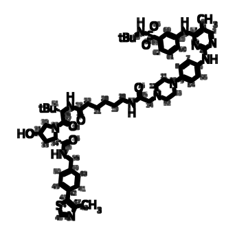 Cc1cnc(Nc2ccc(N3CCN(CC(=O)NCCCCCC(=O)N[C@H](C(=O)N4C[C@H](O)C[C@H]4C(=O)NCc4ccc(-c5scnc5C)cc4)C(C)(C)C)CC3)cc2)nc1Nc1cccc(S(=O)(=O)NC(C)(C)C)c1